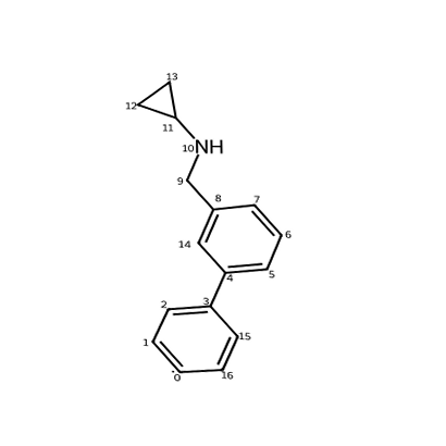 [c]1ccc(-c2cccc(CNC3CC3)c2)cc1